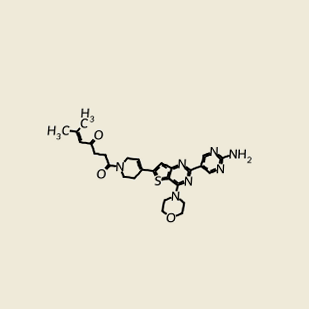 CC(C)=CC(=O)CCC(=O)N1CC=C(c2cc3nc(-c4cnc(N)nc4)nc(N4CCOCC4)c3s2)CC1